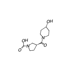 O=C(O)N1CC[C@H](C(=O)N2CCC(O)CC2)C1